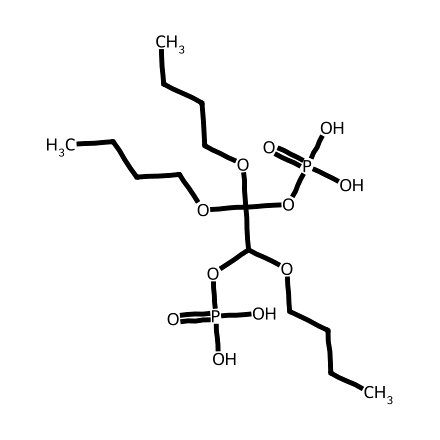 CCCCOC(OP(=O)(O)O)C(OCCCC)(OCCCC)OP(=O)(O)O